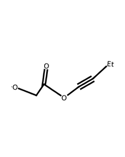 CCC#COC(=O)C[O]